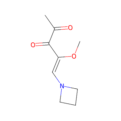 COC(=CN1CCC1)C(=O)C(C)=O